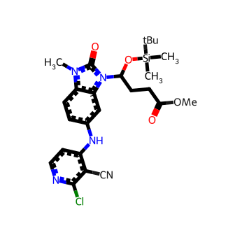 COC(=O)CCC(O[Si](C)(C)C(C)(C)C)n1c(=O)n(C)c2ccc(Nc3ccnc(Cl)c3C#N)cc21